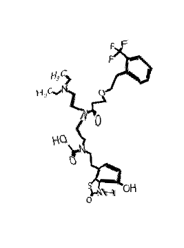 CCN(CC)CCN(CCN(CCc1ccc(O)c2[nH]c(=O)sc12)C(=O)O)C(=O)CCOCCc1ccccc1C(F)(F)F